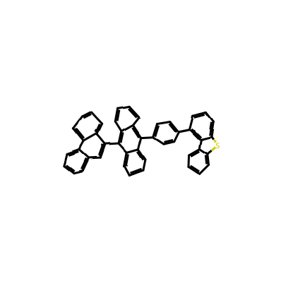 c1ccc2c(c1)cc(-c1c3ccccc3c(-c3ccc(-c4cccc5sc6ccccc6c45)cc3)c3ccccc13)c1ccccc12